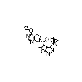 Cc1oc2ncnc(NC3(C)CC3)c2c1C(=O)N1CCc2c(ncnc2OC2CCC2)C1